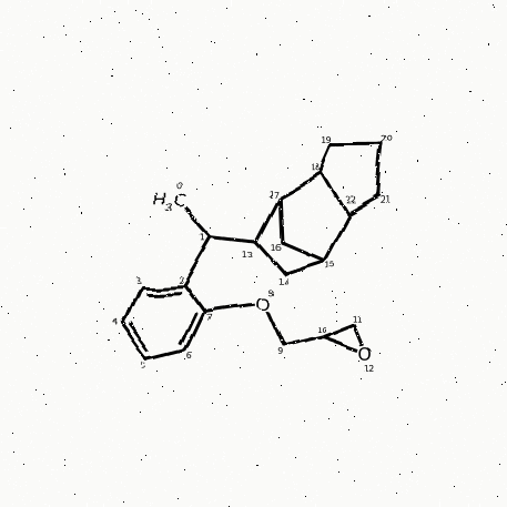 CC(c1ccccc1OCC1CO1)C1CC2CC1C1CCCC21